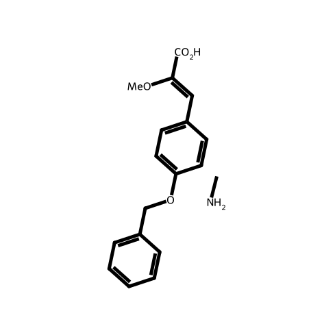 CN.CO/C(=C\c1ccc(OCc2ccccc2)cc1)C(=O)O